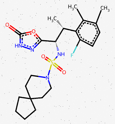 Cc1ccc(F)c([C@@H](C)[C@H](NS(=O)(=O)N2CCC3(CCCC3)CC2)c2n[nH]c(=O)o2)c1C